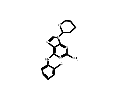 Nc1nc(Nc2ccccc2Cl)c2ncn(C3CCCCO3)c2n1